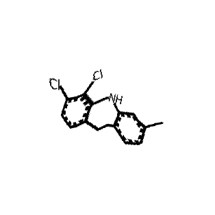 Cc1ccc2c(c1)Nc1c(ccc(Cl)c1Cl)C2